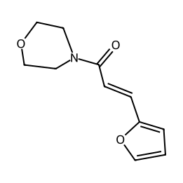 O=C(C=Cc1ccco1)N1CCOCC1